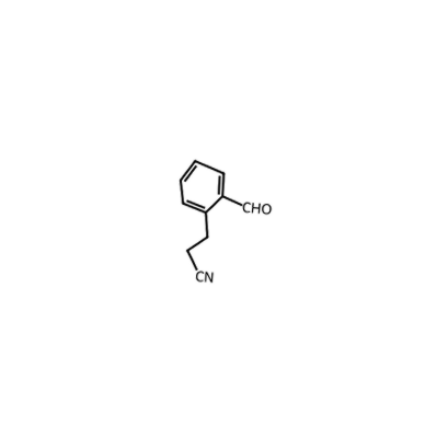 N#CCCc1ccccc1C=O